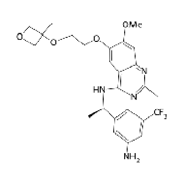 COc1cc2nc(C)nc(N[C@H](C)c3cc(N)cc(C(F)(F)F)c3)c2cc1OCCOC1(C)COC1